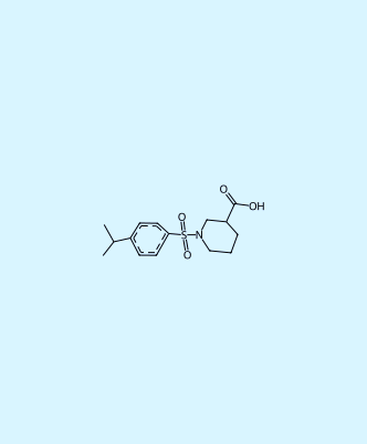 CC(C)c1ccc(S(=O)(=O)N2CCCC(C(=O)O)C2)cc1